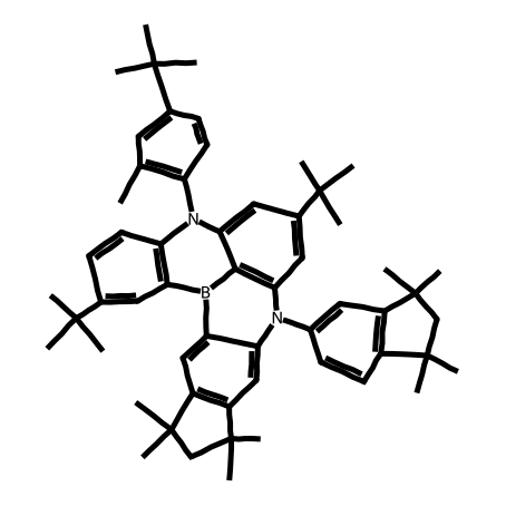 Cc1cc(C(C)(C)C)ccc1N1c2ccc(C(C)(C)C)cc2B2c3cc4c(cc3N(c3ccc5c(c3)C(C)(C)CC5(C)C)c3cc(C(C)(C)C)cc1c32)C(C)(C)CC4(C)C